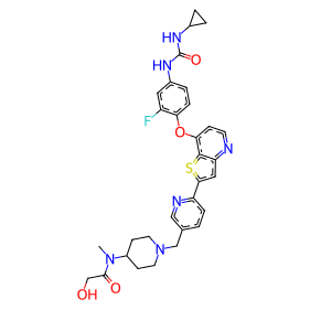 CN(C(=O)CO)C1CCN(Cc2ccc(-c3cc4nccc(Oc5ccc(NC(=O)NC6CC6)cc5F)c4s3)nc2)CC1